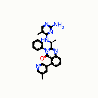 Cc1cncc(-c2cccc3nc([C@H](C)Nc4nc(N)ncc4C)n(-c4ccccc4)c(=O)c23)c1